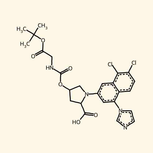 CC(C)(C)OC(=O)CNC(=O)OC1CC(C(=O)O)N(c2cc(-n3ccnc3)c3ccc(Cl)c(Cl)c3c2)C1